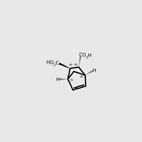 O=C(O)[C@H]1[C@H](C(=O)O)[C@H]2C=C[C@@H]1C2